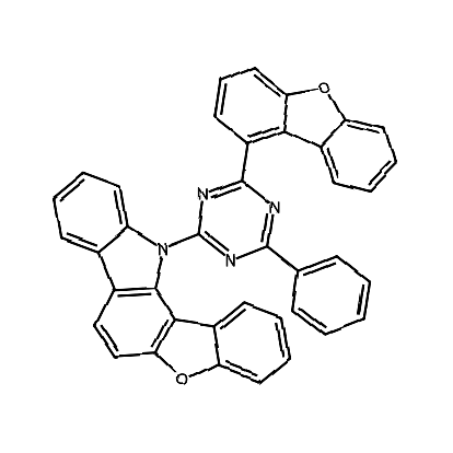 c1ccc(-c2nc(-c3cccc4oc5ccccc5c34)nc(-n3c4ccccc4c4ccc5oc6ccccc6c5c43)n2)cc1